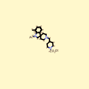 CCOC(=O)N1CCC(CN2CCC3(CC2)CN(C(C)=O)c2c(C)cccc23)CC1